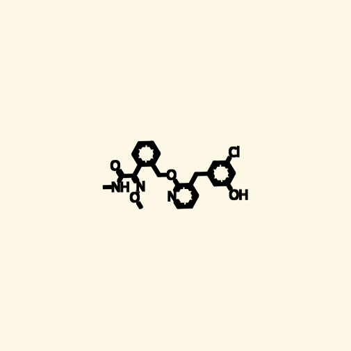 CNC(=O)C(=NOC)c1ccccc1COc1ncccc1Cc1cc(O)cc(Cl)c1